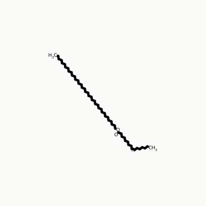 CCCCCC/C=C\CCCCCCCC(=O)OCCCCCCCCCCCCCCCCCCCCCCCCCCCCCCCCCCCCC